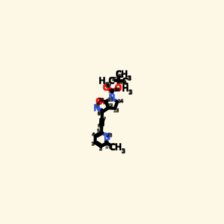 Cc1cccc(C#CC2=NOC3C2CCN3C(=O)OC(C)(C)C)n1